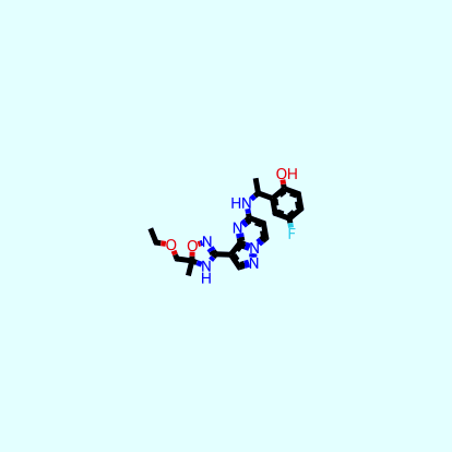 CCOCC1(C)NC(c2cnn3ccc(NC(C)c4cc(F)ccc4O)nc23)=NO1